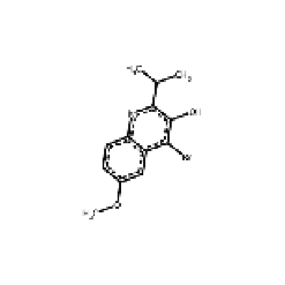 COc1ccc2nc(C(C)C)c(O)c(Br)c2c1